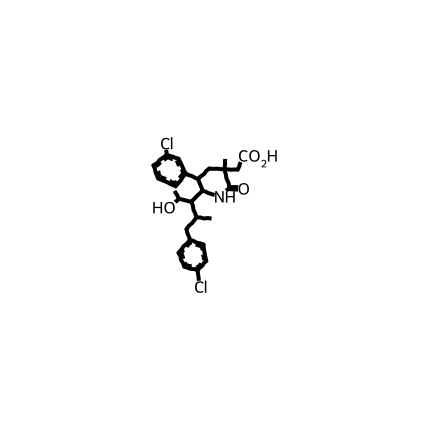 CC(O)C(C(C)Cc1ccc(Cl)cc1)C1NC(=O)C(C)(CC(=O)O)CC1c1cccc(Cl)c1